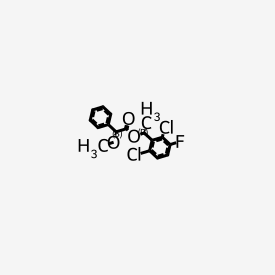 CO[C@H](C(=O)O[C@H](C)c1c(Cl)ccc(F)c1Cl)c1ccccc1